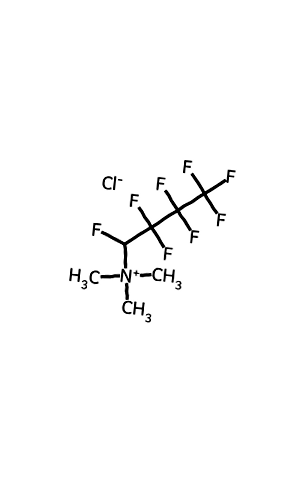 C[N+](C)(C)C(F)C(F)(F)C(F)(F)C(F)(F)F.[Cl-]